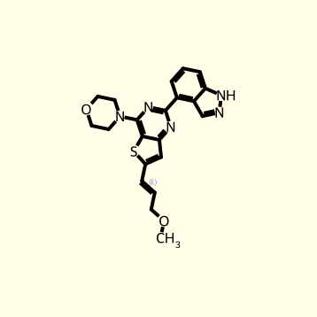 COC/C=C/c1cc2nc(-c3cccc4[nH]ncc34)nc(N3CCOCC3)c2s1